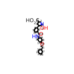 O=C(O)c1cnc(O)c(-c2cccc(C(=O)Nc3ccc(OCCc4ccccc4)cc3)c2)c1